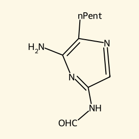 CCCCCc1ncc(NC=O)nc1N